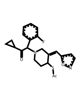 CC(=O)SC1CCN(C(C(=O)C2CC2)c2ccccc2F)C/C1=C/c1ccno1